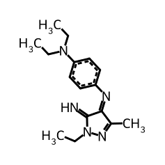 CCN1N=C(C)C(=Nc2ccc(N(CC)CC)cc2)C1=N